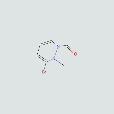 CN1C(Br)=CC=CN1C=O